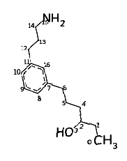 CCC(O)CCCc1cccc(CCCN)c1